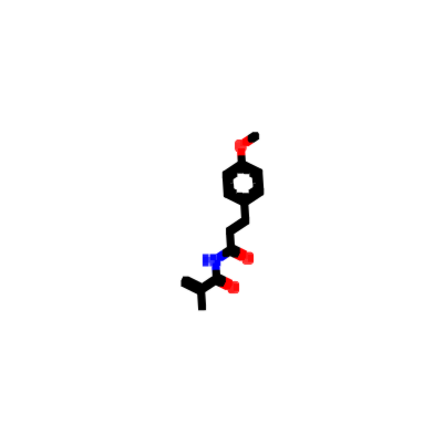 C=C(C)C(=O)NC(=O)CCc1ccc(OC)cc1